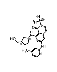 [2H]C([2H])([2H])n1ccc2cc(Nc3cc(C)ccn3)nc(N[C@H]3CC[C@@H](CO)C3)c2c1=O